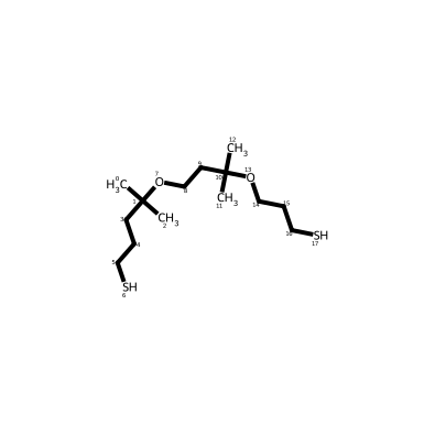 CC(C)(CCCS)OCCC(C)(C)OCCCS